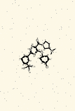 CN(C)C1CCN(C(=O)c2nnc(-c3cccc(C(F)(F)F)c3)nc2Oc2ccc(Cl)cc2)C1